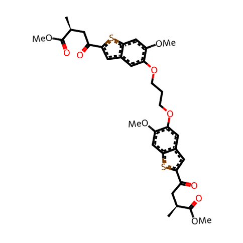 COC(=O)[C@@H](C)CC(=O)c1cc2cc(OCCCOc3cc4cc(C(=O)C[C@H](C)C(=O)OC)sc4cc3OC)c(OC)cc2s1